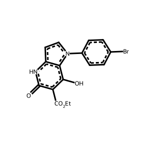 CCOC(=O)c1c(O)c2c(ccn2-c2ccc(Br)cc2)[nH]c1=O